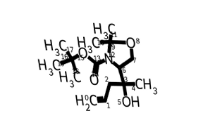 C=CCC(C)(O)C1COC(C)(C)N1C(=O)OC(C)(C)C